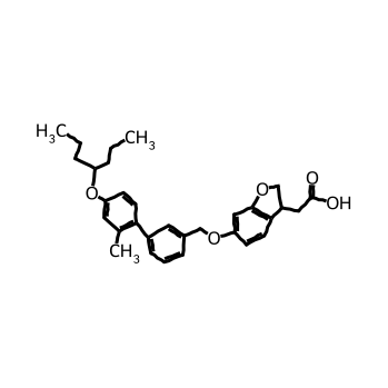 CCCC(CCC)Oc1ccc(-c2cccc(COc3ccc4c(c3)OCC4CC(=O)O)c2)c(C)c1